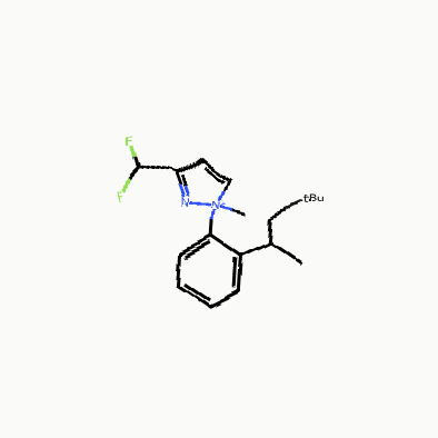 CC(CC(C)(C)C)c1ccccc1[N+]1(C)C=CC(C(F)F)=N1